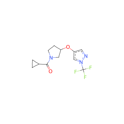 O=C(C1CC1)N1CCC(Oc2cnn(C(F)(F)F)c2)C1